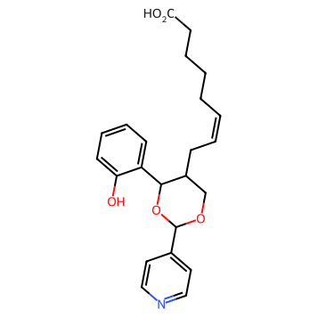 O=C(O)CCCC/C=C\CC1COC(c2ccncc2)OC1c1ccccc1O